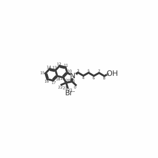 CC1=[N+](CCCCCCO)c2ccc3ccccc3c2C1(C)C.[Br-]